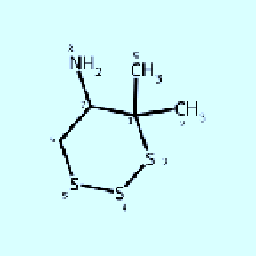 CC1(C)SSSCC1N